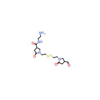 NCCNC(=O)C1CC(=O)N(CCSSCCN2CC(C=O)CC2=O)C1